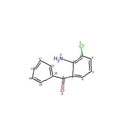 Nc1c(Cl)cccc1C(=O)c1ccccc1